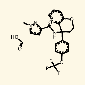 Cn1ccc(C(=O)NC2(c3ccc(OC(F)(F)F)cc3)CCOc3cccnc32)n1.O=CO